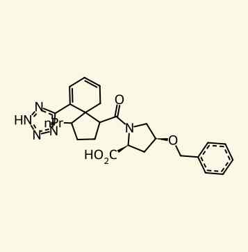 CCCC1CCC(C(=O)N2C[C@@H](OCc3ccccc3)C[C@H]2C(=O)O)C12CC=CC=C2c1nn[nH]n1